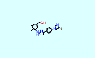 Cc1ccc(CO)cc1Nc1nc(-c2ccc(-n3cnc(Br)c3)cc2)cs1